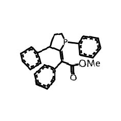 COC(=O)C(=C1C(c2ccccc2)CCP1c1ccccc1)c1ccccc1